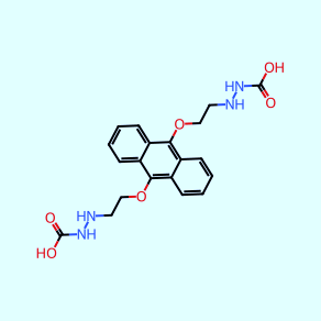 O=C(O)NNCCOc1c2ccccc2c(OCCNNC(=O)O)c2ccccc12